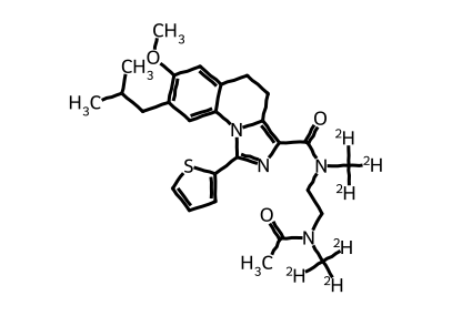 [2H]C([2H])([2H])N(CCN(C(=O)c1nc(-c2cccs2)n2c1CCc1cc(OC)c(CC(C)C)cc1-2)C([2H])([2H])[2H])C(C)=O